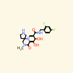 CN1CC2(CCNC2)N2C=C(C(=O)NCc3ccc(F)cc3F)C(O)C(O)=C2C1=O